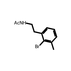 CC(=O)NCCc1cccc(C)c1Br